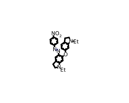 CCN1CCc2ccc(Oc3cc4c(cc3/N=N/c3ccc([N+](=O)[O-])cc3)CCN4CC)cc21